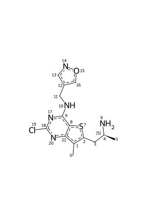 Cc1c(C[C@H](C)N)sc2c(NCc3cnoc3)nc(Cl)nc12